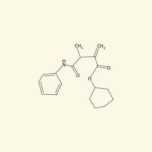 C=C(C(=O)OC1CCCCC1)C(C)C(=O)Nc1ccccc1